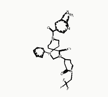 O=C(c1cnc2[nH]ncc2c1)N1CCC2(CC1)C(=O)N(C1CCN(CC(F)(F)F)C1=O)CN2c1ccccc1